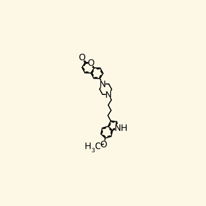 COc1ccc2c(CCCCN3CCN(c4ccc5oc(=O)ccc5c4)CC3)c[nH]c2c1